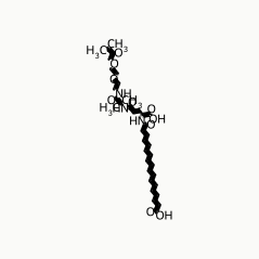 CC(C)C(=O)COCCOCCNC(=O)C(C)(C)NC(=O)CC[C@H](NC(=O)CCCCCCCCCCCCCCCCC(=O)O)C(=O)O